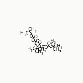 CC(C)COC(=O)OC(=O)CN(C(=O)OCOC(=O)CC(C)(C)C)C(C)(C)C